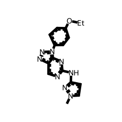 CCOc1ccc(-n2nnc3cnc(Nc4ccn(C)n4)nc32)cc1